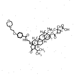 CC(C)C1=C2[C@H]3CC[C@@H]4[C@@]5(C)CC[C@H](OC(=O)[C@H]6C[C@@H](C(=O)O)C6(C)C)C(C)(C)[C@@H]5CC[C@@]4(C)[C@]3(C)CC[C@@]2(CCNC(=O)c2ccc(OCCN3CCOCC3)cc2)CC1=O